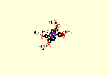 CCOC(=O)c1ccc(C2=NC(c3ccccc3CC)(C3(c4ccccc4CC)N=C(c4ccc(C(=O)OCC)cc4)C(c4ccc(C(=O)OCC)cc4)=N3)N=C2c2ccc(C(=O)OCC)cc2)cc1